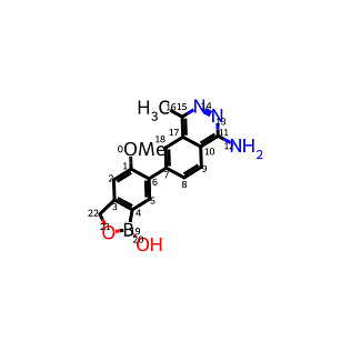 COc1cc2c(cc1-c1ccc3c(N)nnc(C)c3c1)B(O)OC2